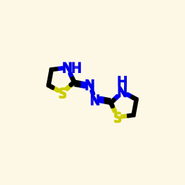 C1CSC(=NN=C2NCCS2)N1